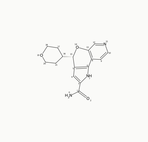 NC(=O)c1cc2c([nH]1)-c1ccncc1O[C@H]2C1CCOCC1